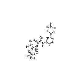 O=C(Nc1cccc(C2CCNCC2)n1)[C@@H]1CC[C@@H]2CN1C(=O)N2OS(=O)(=O)O